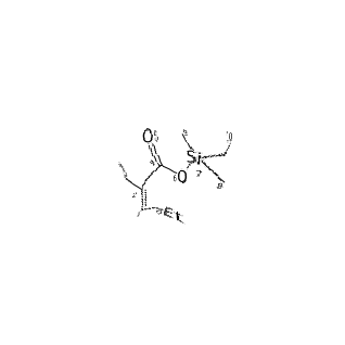 CCC=C(C)C(=O)O[Si](C)(C)C